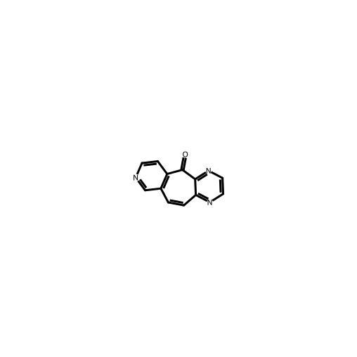 O=c1c2ccncc2ccc2nccnc12